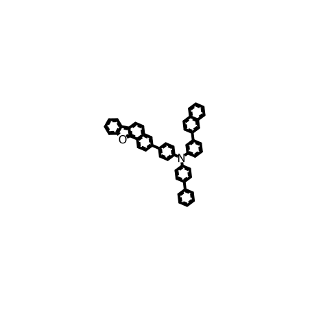 c1ccc(-c2ccc(N(c3ccc(-c4ccc5c(ccc6c7ccccc7oc56)c4)cc3)c3cccc(-c4ccc5ccccc5c4)c3)cc2)cc1